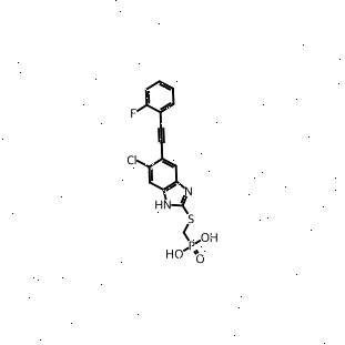 O=P(O)(O)CSc1nc2cc(C#Cc3ccccc3F)c(Cl)cc2[nH]1